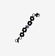 c1cc(-c2ccc(OCC3CO3)cc2)ccc1/N=N/c1ccc(-c2ccc(OC3COC3)cc2)cc1